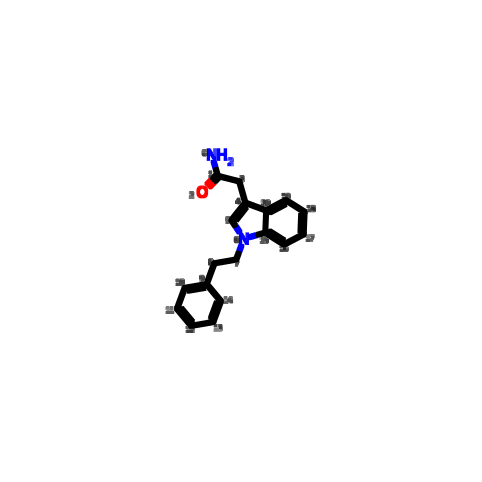 NC(=O)Cc1cn(CCc2ccccc2)c2ccccc12